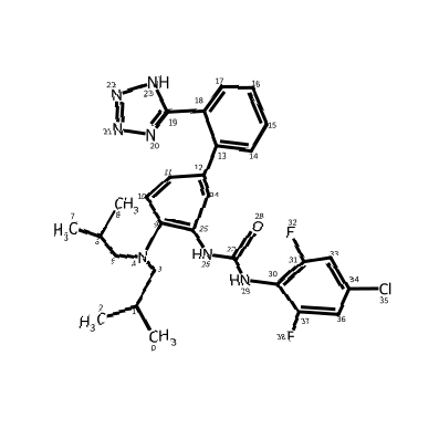 CC(C)CN(CC(C)C)c1ccc(-c2ccccc2-c2nnn[nH]2)cc1NC(=O)Nc1c(F)cc(Cl)cc1F